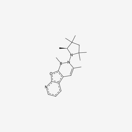 CB1c2oc3ncccc3c2C=C(C)N1N1[C@@H](C)C(C)(C)CC1(C)C